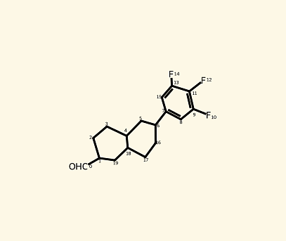 O=CC1CCC2CC(c3cc(F)c(F)c(F)c3)CCC2C1